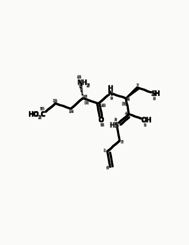 C=CC[SH]=C(O)[C@H](CS)NC(=O)[C@@H](N)CCC(=O)O